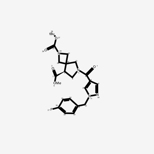 COC(=O)[C@@H]1CN(C(=O)c2cnn(Cc3ccc(F)cc3)c2)CC12CN(C(=O)OC(C)(C)C)C2